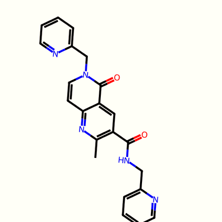 Cc1nc2ccn(Cc3ccccn3)c(=O)c2cc1C(=O)NCc1ccccn1